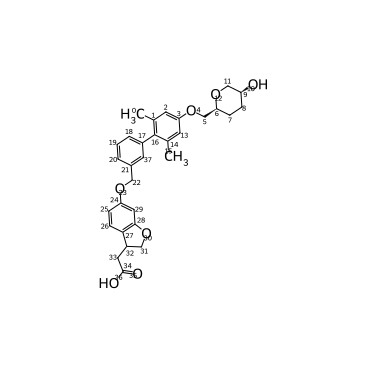 Cc1cc(OC[C@@H]2CC[C@H](O)CO2)cc(C)c1-c1cccc(COc2ccc3c(c2)OCC3CC(=O)O)c1